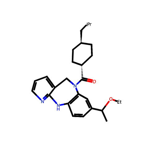 CCOC(C)c1ccc2c(c1)N(C(=O)[C@H]1CC[C@H](CC(C)C)CC1)Cc1cccnc1N2